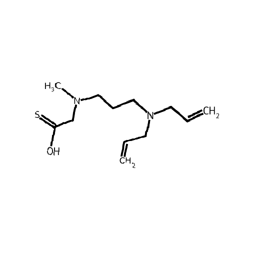 C=CCN(CC=C)CCCN(C)CC(O)=S